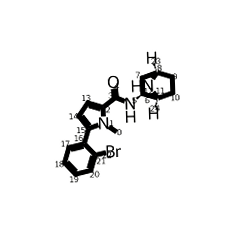 Cn1c(C(=O)N[C@@H]2C[C@H]3CC[C@@H]2N3)ccc1-c1ccccc1Br